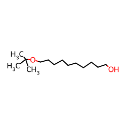 CC(C)(C)OCCCCCCCCCCO